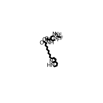 O=C(NC(CCCCCCCc1ccc2c(n1)NCCC2)C(=O)O)C1CCn2c(nnc2C(F)(F)F)C1